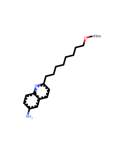 CCCCCCOCCCCCCCCc1ccc2cc(N)ccc2n1